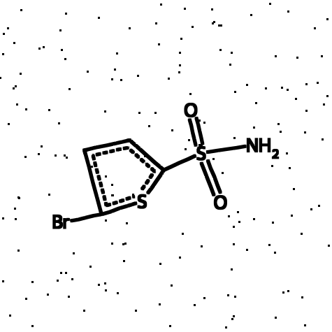 NS(=O)(=O)c1ccc(Br)s1